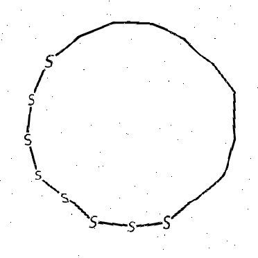 C1CCCCSSSSSSSSCCCC1